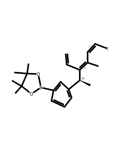 C=C/C(=C(C)\C=C/I)[C@@H](C)c1cccc(B2OC(C)(C)C(C)(C)O2)c1